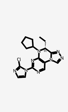 CC[C@@H]1c2nncn2-c2cnc(-n3ccnc3Cl)nc2N1C1CCCC1